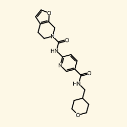 O=C(NCC1CCOCC1)c1ccc(NC(=O)N2CCc3ccoc3C2)nc1